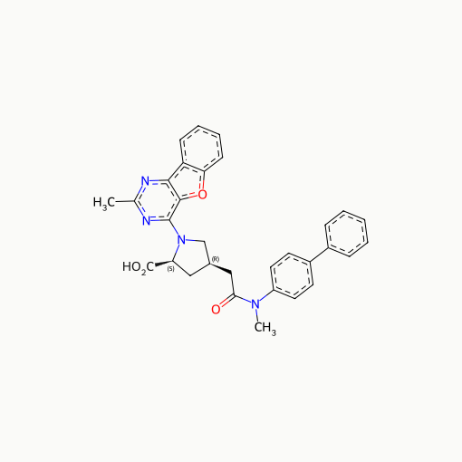 Cc1nc(N2C[C@@H](CC(=O)N(C)c3ccc(-c4ccccc4)cc3)C[C@H]2C(=O)O)c2oc3ccccc3c2n1